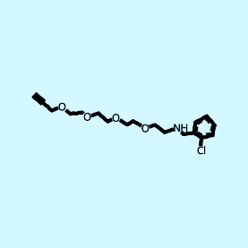 C#CCOCCOCCOCCOCCNCc1ccccc1Cl